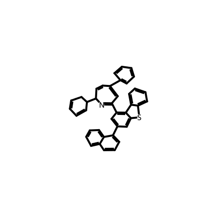 C1=CCC(C2C=CC(c3ccccc3)=CC(c3cc(-c4cccc5ccccc45)cc4sc5ccccc5c34)=N2)C=C1